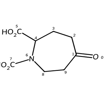 O=C1CCC(C(=O)O)N(C(=O)O)CC1